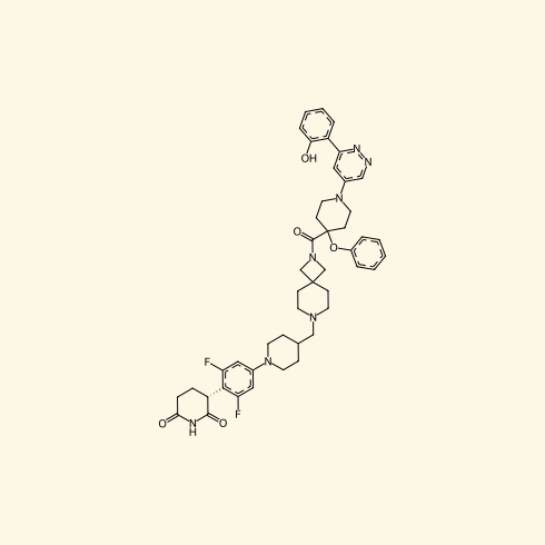 O=C1CC[C@H](c2c(F)cc(N3CCC(CN4CCC5(CC4)CN(C(=O)C4(Oc6ccccc6)CCN(c6cnnc(-c7ccccc7O)c6)CC4)C5)CC3)cc2F)C(=O)N1